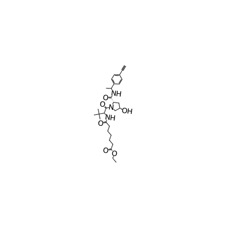 C#Cc1ccc(C(C)NC(=O)[C@@H]2C[C@@H](O)CN2C(=O)C(NC(=O)CCCCCC(=O)OCC)C(C)(C)C)cc1